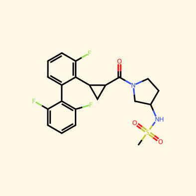 CS(=O)(=O)NC1CCN(C(=O)C2CC2c2c(F)cccc2-c2c(F)cccc2F)C1